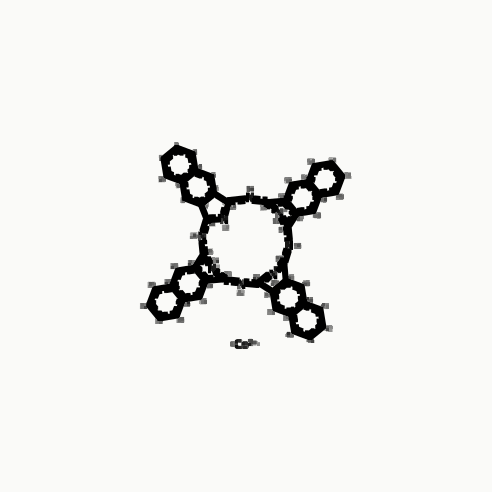 [Co+2].c1ccc2cc3c(cc2c1)-c1nc-3nc2[n-]c(nc3nc(nc4[n-]c(n1)c1cc5ccccc5cc41)-c1cc4ccccc4cc1-3)c1cc3ccccc3cc21